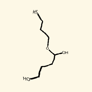 OCCCC(O)OCCCS